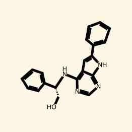 OC[C@@H](Nc1ncnc2[nH]c(-c3ccccc3)cc12)c1ccccc1